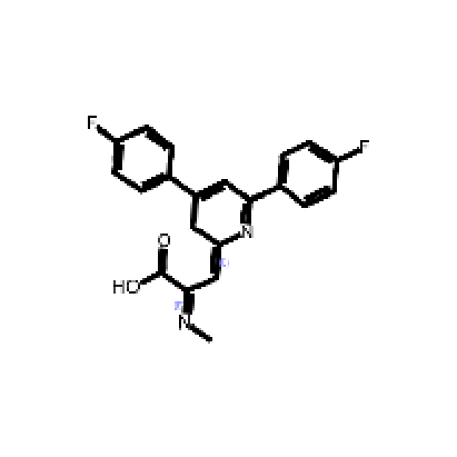 C/N=C(\C=C1/CC(c2ccc(F)cc2)=CC(c2ccc(F)cc2)=N1)C(=O)O